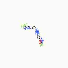 Fc1cc(-c2nnc(C(F)F)o2)ccc1Cn1cc(-c2cccc(CN3CCC(F)(F)CC3)c2)nn1